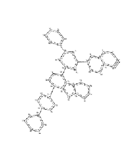 c1ccc2cc(-c3nc(-c4ccccc4)nc(-c4ccc(-c5ccc(-c6ccccc6)cc5)c5oc6ccccc6c45)n3)ccc2c#1